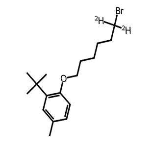 [2H]C([2H])(Br)CCCCCOc1ccc(C)cc1C(C)(C)C